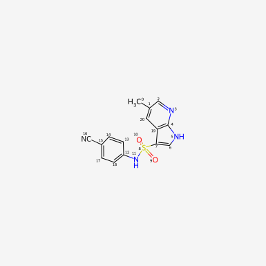 Cc1cnc2[nH]cc(S(=O)(=O)Nc3ccc(C#N)cc3)c2c1